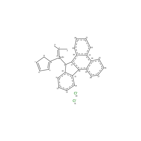 C[C](C)=[Zr+2]([C]1=CC=CC1)[CH]1c2ccccc2-c2c1c1ccccc1c1ccccc21.[Cl-].[Cl-]